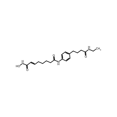 CCNC(=O)CCCc1ccc(NC(=O)CCCC/C=C/C(=O)NO)cc1